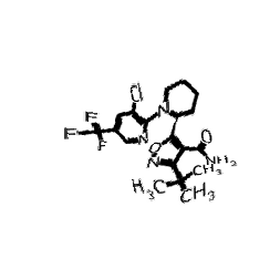 CC(C)(C)c1noc([C@@H]2CCCCN2c2ncc(C(F)(F)F)cc2Cl)c1C(N)=O